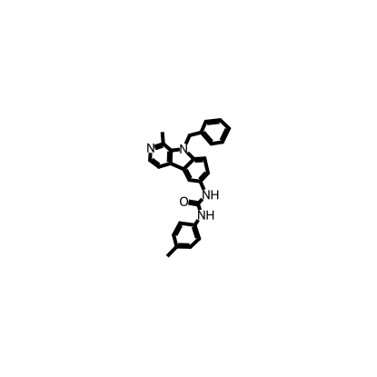 Cc1ccc(NC(=O)Nc2ccc3c(c2)c2ccnc(C)c2n3Cc2ccccc2)cc1